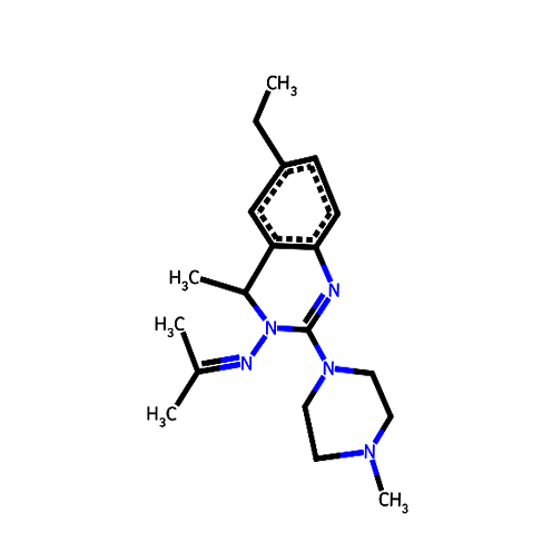 CCc1ccc2c(c1)C(C)N(N=C(C)C)C(N1CCN(C)CC1)=N2